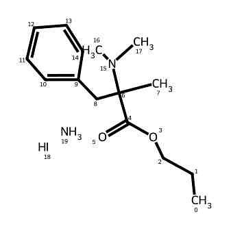 CCCOC(=O)C(C)(Cc1ccccc1)N(C)C.I.N